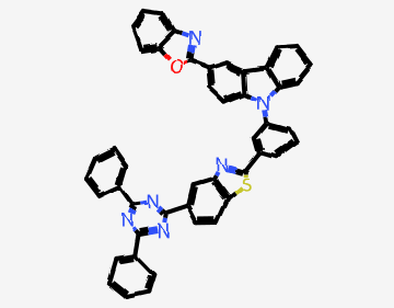 c1ccc(-c2nc(-c3ccccc3)nc(-c3ccc4sc(-c5cccc(-n6c7ccccc7c7cc(-c8nc9ccccc9o8)ccc76)c5)nc4c3)n2)cc1